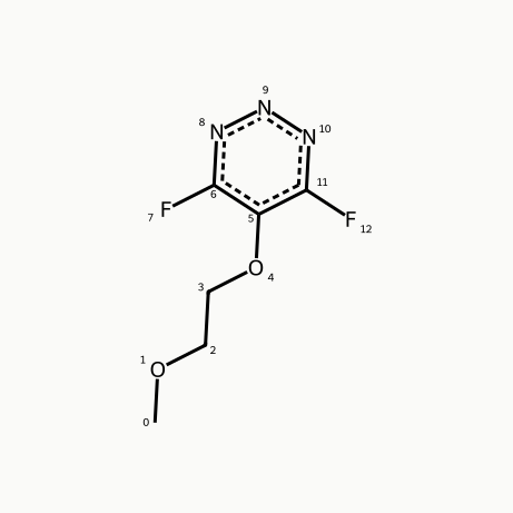 COCCOc1c(F)nnnc1F